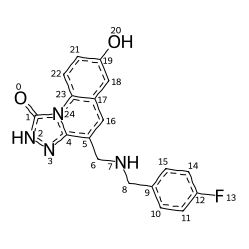 O=c1[nH]nc2c(CNCc3ccc(F)cc3)cc3cc(O)ccc3n12